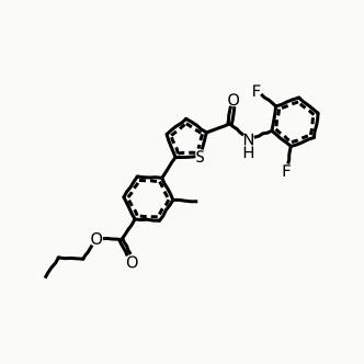 CCCOC(=O)c1ccc(-c2ccc(C(=O)Nc3c(F)cccc3F)s2)c(C)c1